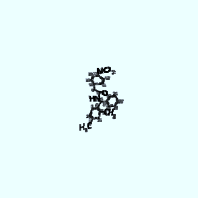 Cc1ccc(C(NC(=O)Cc2ccc([N+](=O)[O-])cc2)c2ccccc2)c(C)c1